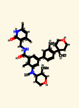 CCN(c1cc(-c2ccc(C3(C=O)CCOCC3)c(NC)c2)cc(C(=O)NCc2c(C)cc(C)[nH]c2=O)c1C)C1CCOCC1OC